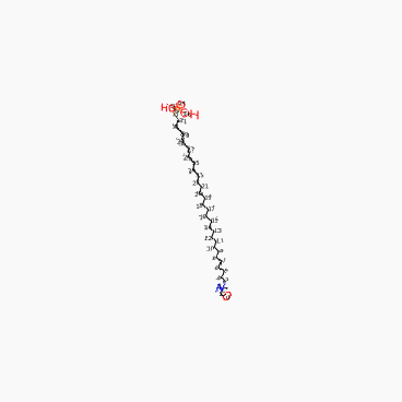 O=C=NCCCCCCCCCCCCCCCCCCCCCCCCCCCCCCP(=O)(O)O